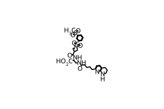 CS(=O)(=O)c1cccc(S(=O)(=O)N2CC(C(=O)NC(CNC(=O)CCCCc3ccc4c(n3)NCCC4)C(=O)O)C2)c1